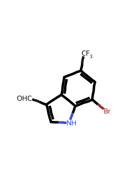 O=Cc1c[nH]c2c(Br)cc(C(F)(F)F)cc12